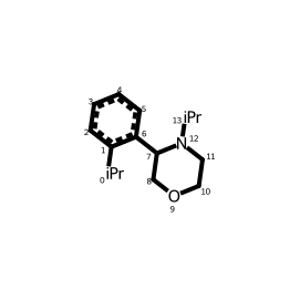 CC(C)c1ccccc1C1COCCN1C(C)C